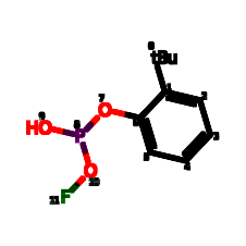 CC(C)(C)c1ccccc1OP(O)OF